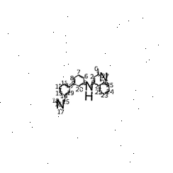 Cc1cc(Nc2cccc(-c3cccc(CN(C)C)c3)c2)c2ccccc2n1